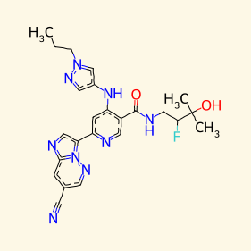 CCCn1cc(Nc2cc(-c3cnc4cc(C#N)cnn34)ncc2C(=O)NCC(F)C(C)(C)O)cn1